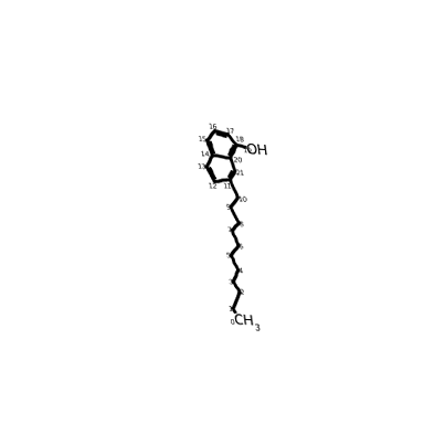 CCCCCCCCCCCc1ccc2cccc(O)c2c1